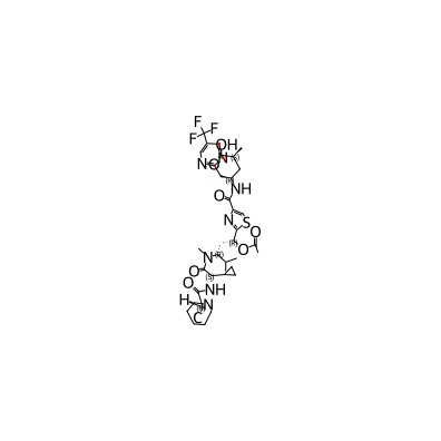 CC(=O)O[C@H](C[C@H](C(C)C)N(C)C(=O)[C@@H](NC(=O)[C@H]1CC2CCN1CC2)C1CC1)c1nc(C(=O)N[C@@H](Cc2ncc(C(F)(F)F)cn2)C[C@H](C)C(=O)O)cs1